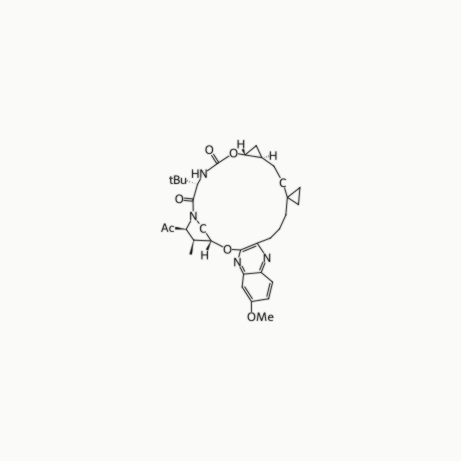 COc1ccc2nc3c(nc2c1)O[C@H]1CN(C(=O)[C@H](C(C)(C)C)NC(=O)O[C@@H]2C[C@H]2CCC2(CCC3)CC2)[C@H](C(C)=O)[C@@H]1C